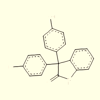 O=C1Nc2ccccc2C1(c1ccc(O)cc1)c1ccc(O)cc1